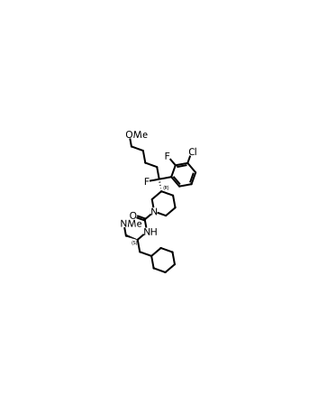 CNC[C@H](CC1CCCCC1)NC(=O)N1CCC[C@@H](C(F)(CCCCOC)c2cccc(Cl)c2F)C1